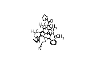 COc1ccccc1[C@H](CN1c2sc(-n3nccn3)c(C)c2C(=O)N(C(C)(C)C(=O)N2CCCC2)C1O)OCCC#N